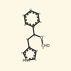 O=COC(Cc1cc[nH]c1)c1ccccc1